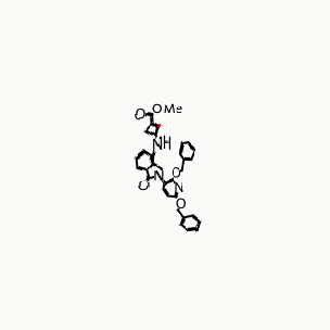 COC(=O)C12CC(Nc3cccc4c3CN(c3ccc(OCc5ccccc5)nc3OCc3ccccc3)C4=O)(C1)C2